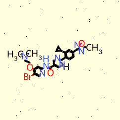 [2H]N1C=C(C(=O)Nc2cc(OCCN(C)C)c(Br)cn2)C=NC1c1ccc(-c2noc(C)n2)cc1C1CC1